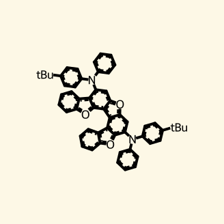 CC(C)(C)c1ccc(N(c2ccccc2)c2cc3oc4cc(N(c5ccccc5)c5ccc(C(C)(C)C)cc5)c5c6ccccc6oc5c4c3c3c2oc2ccccc23)cc1